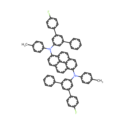 Cc1ccc(N(c2cc(-c3ccccc3)cc(-c3ccc(F)cc3)c2)c2ccc3ccc4c(N(c5ccc(C)cc5)c5cc(-c6ccccc6)cc(-c6ccc(F)cc6)c5)ccc5ccc2c3c54)cc1